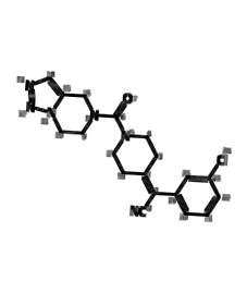 N#CC(=C1CCN(C(=O)N2CCn3nncc3C2)CC1)c1cccc(Cl)c1